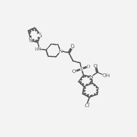 O=C(CCS(=O)(=O)c1cc2cc(Cl)ccc2n1C(=O)O)N1CCC(Nc2nccs2)CC1